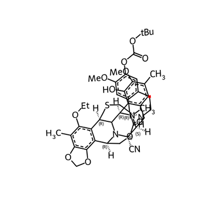 CCOc1c(C)c2c(c3c1[C@H]1SC[C@]4(NCCc5cc(OC(=O)OC(C)(C)C)c(OC)cc54)C(=O)OC[C@@H]3N3C1[C@H]1c4c(cc(C)c(OC)c4O)C[C@@H]([C@@H]3C#N)N1C)OCO2